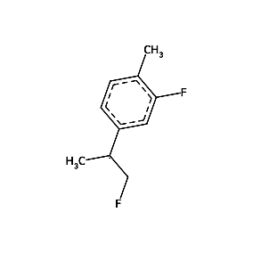 C[C](CF)c1ccc(C)c(F)c1